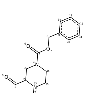 O=CC1CN(C(=O)OCc2ccccc2)CCN1